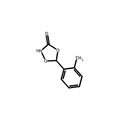 Cc1ccccc1C1ONC(=O)O1